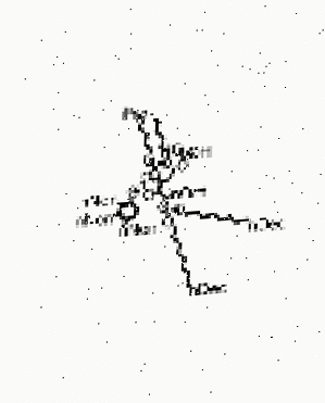 CCCCCCCCCCCCCCCCCCOP(OCCCCCCCCCCCCCCCCCC)OC(CCCCCCCC)C(OP(O)Oc1ccc(CCCCCCCCC)c(CCCCCCCCC)c1CCCCCCCCC)C(CCOP(O)O)OP(OCCCCCC(C)C)OCCCCCC(C)C